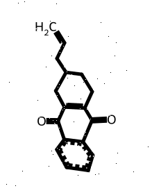 C=CCC1CCC2=C(C1)C(=O)c1ccccc1C2=O